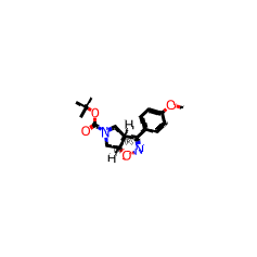 COc1ccc(C2=NO[C@@H]3CN(C(=O)OC(C)(C)C)C[C@H]23)cc1